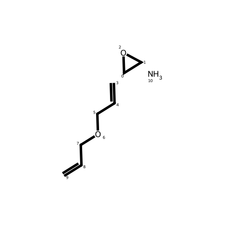 C1CO1.C=CCOCC=C.N